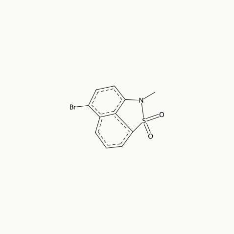 CN1c2ccc(Br)c3cccc(c23)S1(=O)=O